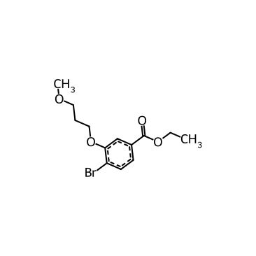 CCOC(=O)c1ccc(Br)c(OCCCOC)c1